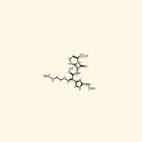 O=CNc1nc(/C(=N/OCCOC=O)C(=O)NC2C(=O)N3C(C(=O)O)=CCS[C@H]23)cs1